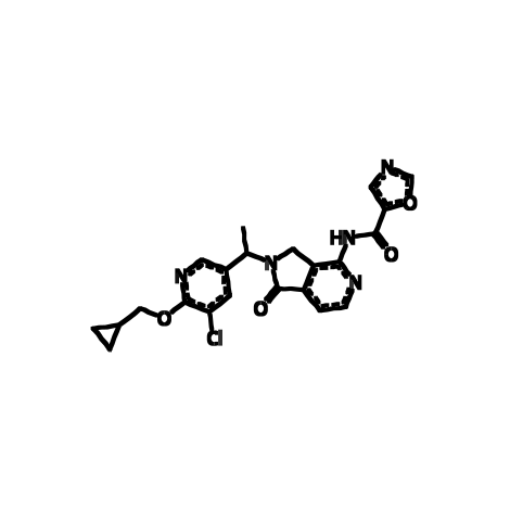 CC(c1cnc(OCC2CC2)c(Cl)c1)N1Cc2c(ccnc2NC(=O)c2cnco2)C1=O